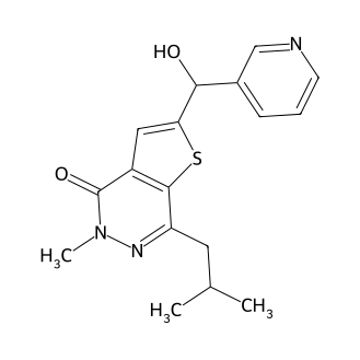 CC(C)Cc1nn(C)c(=O)c2cc(C(O)c3cccnc3)sc12